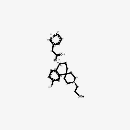 CC(C)(C)CCN1CCC2(CC[C@@H](NC(=O)Cc3cccnc3)c3ccc(F)cc32)CC1